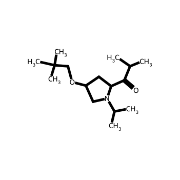 CC(C)C(=O)C1CC(OCC(C)(C)C)CN1C(C)C